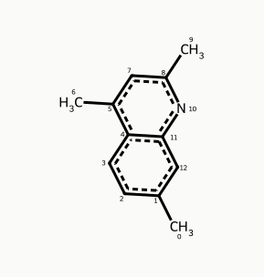 Cc1ccc2c(C)cc(C)nc2c1